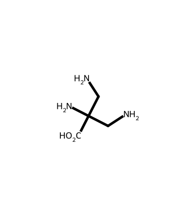 NCC(N)(CN)C(=O)O